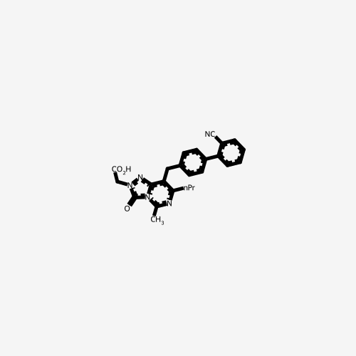 CCCc1nc(C)n2c(=O)n(CC(=O)O)nc2c1Cc1ccc(-c2ccccc2C#N)cc1